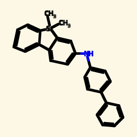 C[Si]1(C)c2ccccc2-c2ccc(Nc3ccc(-c4ccccc4)cc3)cc21